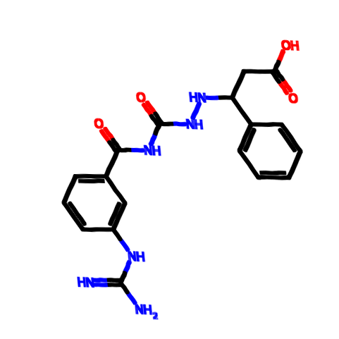 N=C(N)Nc1cccc(C(=O)NC(=O)NNC(CC(=O)O)c2ccccc2)c1